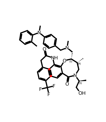 Cc1ccccc1N(C)c1ccc(CN(C)C[C@H]2Oc3c(NC(=O)Cc4ccc(C(F)(F)F)cc4)cccc3C(=O)N([C@@H](C)CO)C[C@H]2C)cc1